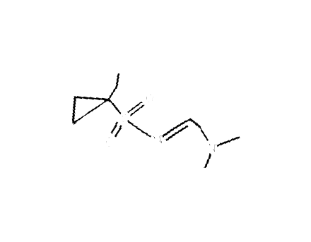 CN(C)/C=N/S(=O)(=O)C1(C)CC1